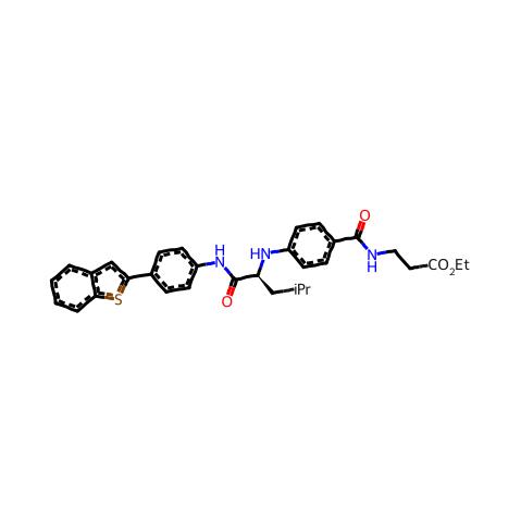 CCOC(=O)CCNC(=O)c1ccc(N[C@@H](CC(C)C)C(=O)Nc2ccc(-c3cc4ccccc4s3)cc2)cc1